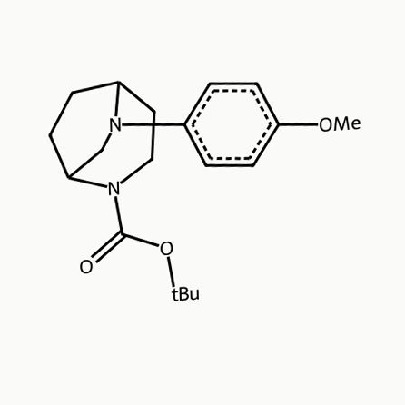 COc1ccc(N2CC3CCC2CCN3C(=O)OC(C)(C)C)cc1